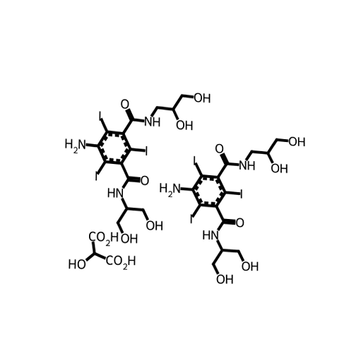 Nc1c(I)c(C(=O)NCC(O)CO)c(I)c(C(=O)NC(CO)CO)c1I.Nc1c(I)c(C(=O)NCC(O)CO)c(I)c(C(=O)NC(CO)CO)c1I.O=C(O)C(O)C(=O)O